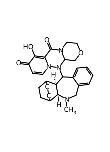 CN1Cc2ccccc2C(N2C3COCCN3C(=O)c3c(O)c(=O)ccn32)[C@@H]2C3CCC(CC3)[C@H]21